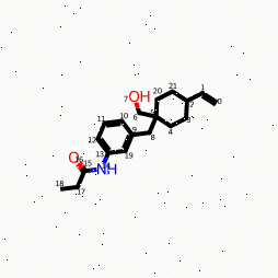 C=CC1CCC(CO)(Cc2cccc(NC(=O)CC)c2)CC1